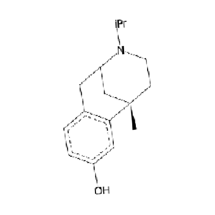 CC(C)N1CC[C@@]2(C)CC1Cc1ccc(O)cc12